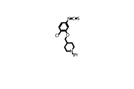 CC(C)N1CCC(COc2cc(N=C=S)ccc2Cl)CC1